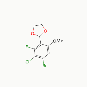 COc1cc(Br)c(Cl)c(F)c1C1OCCO1